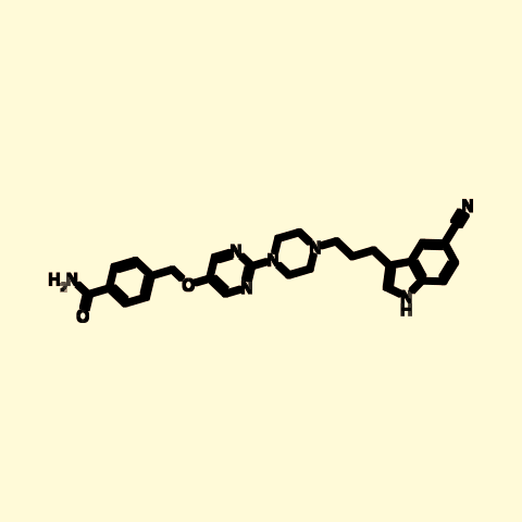 N#Cc1ccc2[nH]cc(CCCN3CCN(c4ncc(OCc5ccc(C(N)=O)cc5)cn4)CC3)c2c1